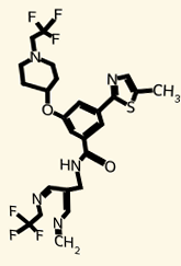 C=N/C=C(\C=N/CC(F)(F)F)CNC(=O)c1cc(OC2CCN(CC(F)(F)F)CC2)cc(-c2ncc(C)s2)c1